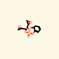 O=C1CC=CC=C1OP(=O)(OCC1CO1)OCC1CO1